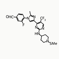 CSN1CCC(Nc2ncc(C(F)(F)F)c(-c3cn(-c4ccc(C=O)cc4F)c(C)n3)n2)CC1